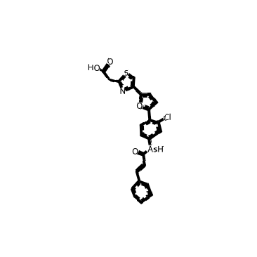 O=C(O)Cc1nc(-c2ccc(-c3ccc([AsH]C(=O)/C=C/c4ccccc4)cc3Cl)o2)cs1